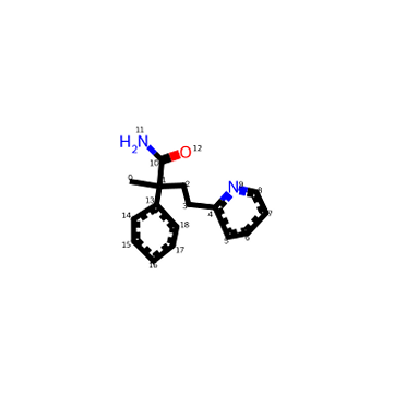 CC(CCc1ccccn1)(C(N)=O)c1ccccc1